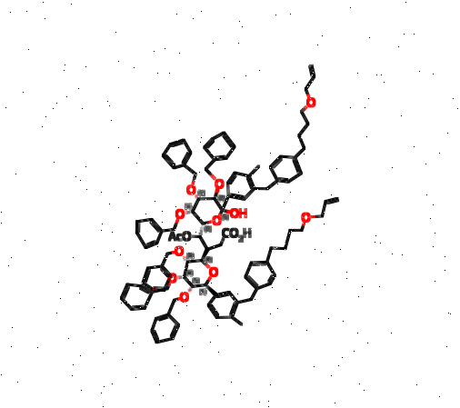 C=CCOCCCCc1ccc(Cc2cc([C@@H]3O[C@H](C(CC(=O)O)C(OC(C)=O)[C@H]4O[C@@](O)(c5ccc(C)c(Cc6ccc(CCCCOCC=C)cc6)c5)[C@H](OCc5ccccc5)[C@@H](OCc5ccccc5)[C@H]4OCc4ccccc4)[C@@H](OCc4ccccc4)[C@@H](OCc4ccccc4)[C@H]3OCc3ccccc3)ccc2C)cc1